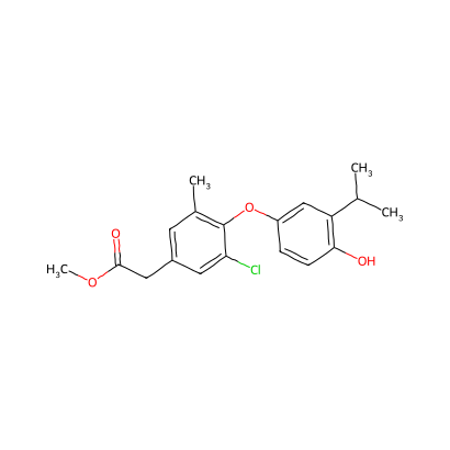 COC(=O)Cc1cc(C)c(Oc2ccc(O)c(C(C)C)c2)c(Cl)c1